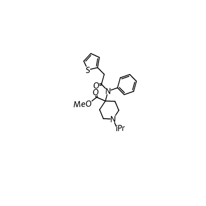 COC(=O)C1(N(C(=O)Cc2cccs2)c2ccccc2)CCN(C(C)C)CC1